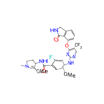 COc1cc(C(=O)NC2CCN(C)C[C@@H]2OC)c(F)cc1Nc1ncc(C(F)(F)F)c(Oc2cccc3c2C(=O)NC3)n1